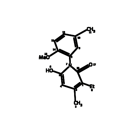 CCc1c(C)cc(O)n(-c2cc(C)ccc2OC)c1=O